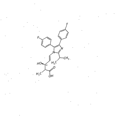 CC(C)c1nc(-c2ccc(F)cc2)c(-c2ccc(F)cc2)n1C=C[C@H](O)C(C)C(=O)O